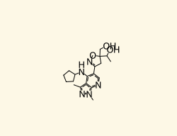 Cc1nn(C)c2ncc(C3=NOC(CO)(C(C)O)C3)c(NC3CCCC3)c12